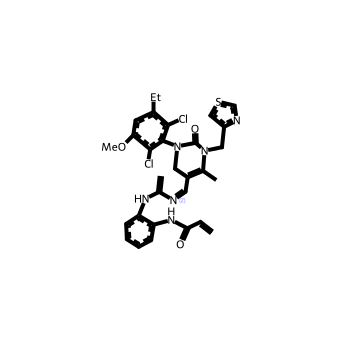 C=CC(=O)Nc1ccccc1NC(=C)/N=C\C1=C(C)N(Cc2cscn2)C(=O)N(c2c(Cl)c(CC)cc(OC)c2Cl)C1